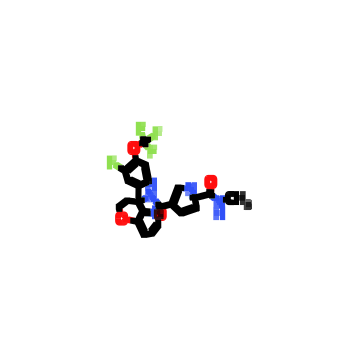 CNC(=O)c1ccc(C(=O)NC2(c3ccc(OC(F)(F)F)c(F)c3)CCOc3cccnc32)cn1